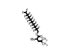 CC(C)=CC(C(=O)OCC(F)(F)C(F)(F)C(F)(F)C(F)(F)C(F)(F)C(F)(F)C(F)(F)C(F)F)C(C)(C)C